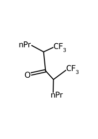 CCCC(C(=O)C(CCC)C(F)(F)F)C(F)(F)F